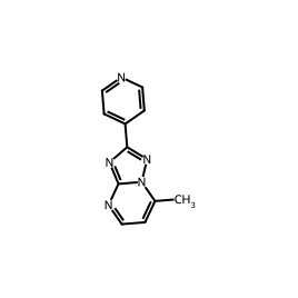 Cc1ccnc2nc(-c3ccncc3)nn12